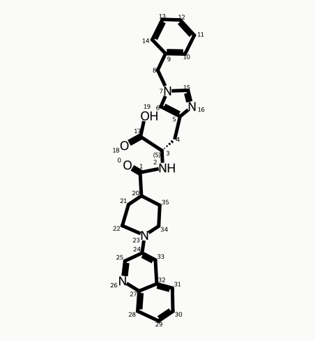 O=C(N[C@@H](Cc1cn(Cc2ccccc2)cn1)C(=O)O)C1CCN(c2cnc3ccccc3c2)CC1